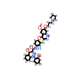 COc1cc2c(Oc3ccc(NC(=O)c4nn(-c5ccc(F)cc5Br)c5ccccc5c4=O)cc3F)ccnc2cc1OCCCN1CCCC1